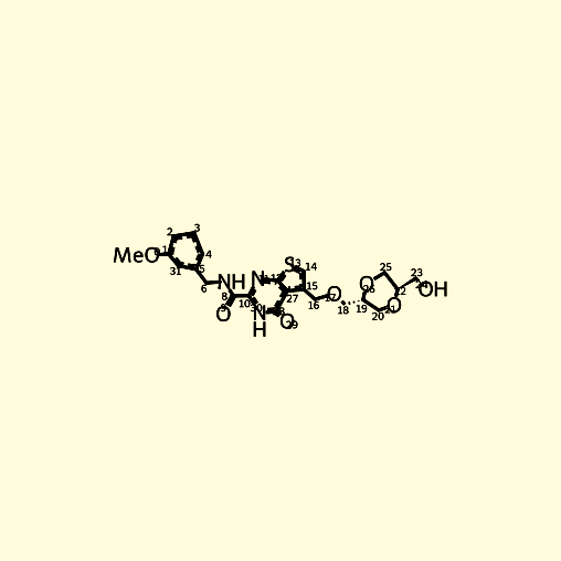 COc1cccc(CNC(=O)c2nc3scc(COC[C@H]4CO[C@H](CO)CO4)c3c(=O)[nH]2)c1